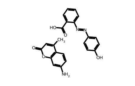 Cc1cc(=O)oc2cc(N)ccc12.O=C(O)c1ccccc1N=Nc1ccc(O)cc1